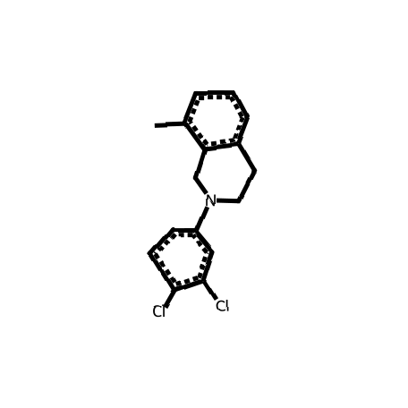 Cc1cccc2c1CN(c1ccc(Cl)c(Cl)c1)CC2